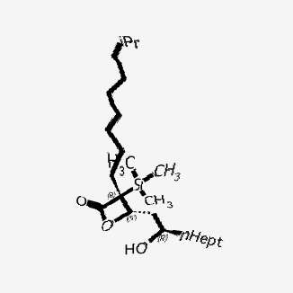 CCCCCCC[C@@H](O)C[C@@H]1OC(=O)[C@]1(CCCCCCCC(C)C)[Si](C)(C)C